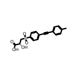 Cc1ccc(C#Cc2ccc(S(=O)(=O)C[C@H](O)C(=O)O)cc2)cc1